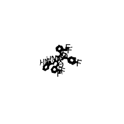 O=C(CN1C(C(=O)c2ccccc2C(F)(F)F)CNC(Cc2c[nH]c3ccccc23)C1C(=O)c1ccccc1C(F)(F)F)c1ccc(F)cc1